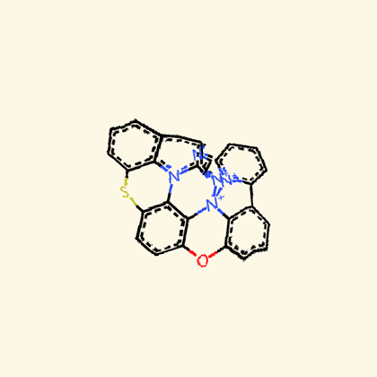 c1cc2c3c(c1)-c1cccc[n+]1[N+]31c3c(ccc4c3-n3c5c(cccc5c5ncc[n+]1c53)S4)O2